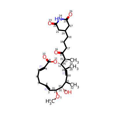 CO[C@H]1/C=C/CC/C=C/C(=O)O[C@H]([C@H](C)C(=O)CCCC2CC(=O)NC(=O)C2)/C(C)=C\C(C)[C@@H]1O